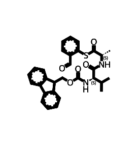 CC(C)[C@H](NC(=O)OCC1c2ccccc2-c2ccccc21)C(=O)N[C@@H](C)C(=O)Sc1ccccc1C=O